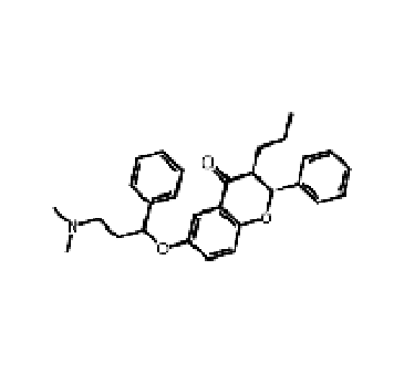 CCC[C@@H]1C(=O)c2cc(OC(CCN(C)C)c3ccccc3)ccc2O[C@@H]1c1ccccc1